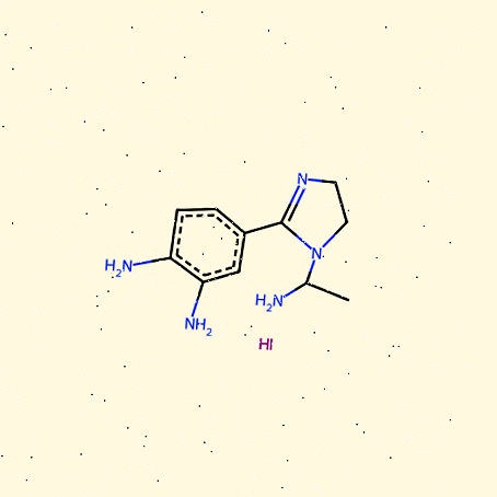 CC(N)N1CCN=C1c1ccc(N)c(N)c1.I